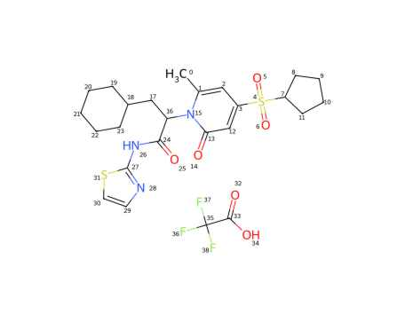 Cc1cc(S(=O)(=O)C2CCCC2)cc(=O)n1C(CC1CCCCC1)C(=O)Nc1nccs1.O=C(O)C(F)(F)F